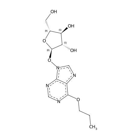 CCCOc1ncnc2c1ncn2O[C@H]1O[C@H](CO)[C@@H](O)[C@@H]1O